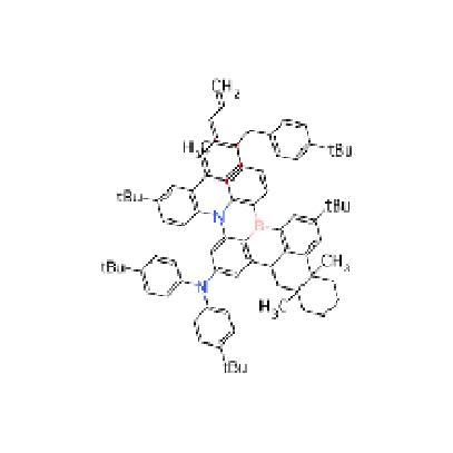 C=C/C=C(/C)C(Cc1ccc(C(C)(C)C)cc1)c1ccc2c(c1)N(c1ccc(C(C)(C)C)cc1-c1ccccc1)c1cc(N(c3ccc(C(C)(C)C)cc3)c3ccc(C(C)(C)C)cc3)cc3c1B2c1cc(C(C)(C)C)cc2c1C3CC1(C)CCCCC21C